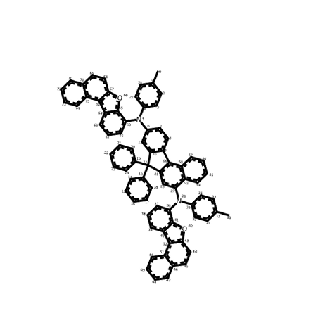 Cc1ccc(N(c2ccc3c(c2)C(c2ccccc2)(c2ccccc2)c2cc(N(c4ccc(C)cc4)c4cccc5c4oc4ccc6ccccc6c45)c4ccccc4c2-3)c2cccc3c2oc2ccc4ccccc4c23)cc1